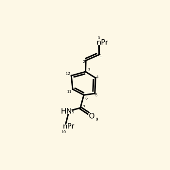 CCC/C=C/c1ccc(C(=O)NCCC)cc1